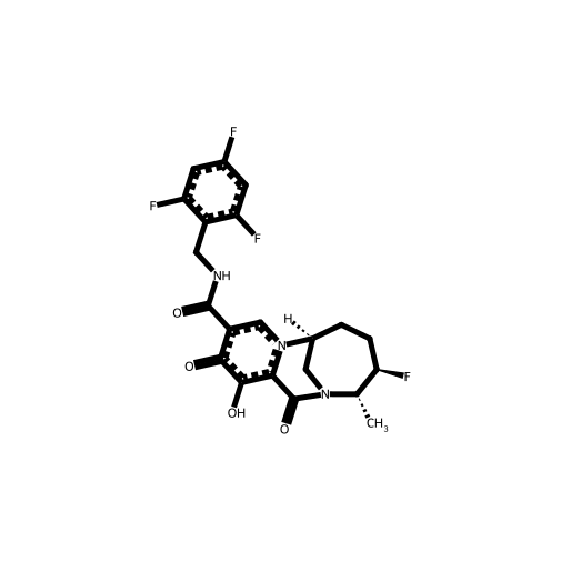 C[C@H]1[C@H](F)CC[C@H]2CN1C(=O)c1c(O)c(=O)c(C(=O)NCc3c(F)cc(F)cc3F)cn12